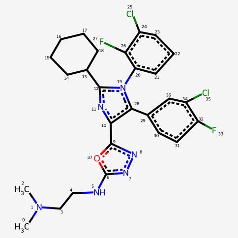 CN(C)CCNc1nnc(-c2nc(C3CCCCC3)n(-c3cccc(Cl)c3F)c2-c2ccc(F)c(Cl)c2)o1